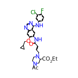 CCOC(=O)C1CN(C(C)=O)CCN1CC=CC(=O)Nc1cc2c(Nc3ccc(F)c(Cl)c3)ncnc2cc1OCC1CC1